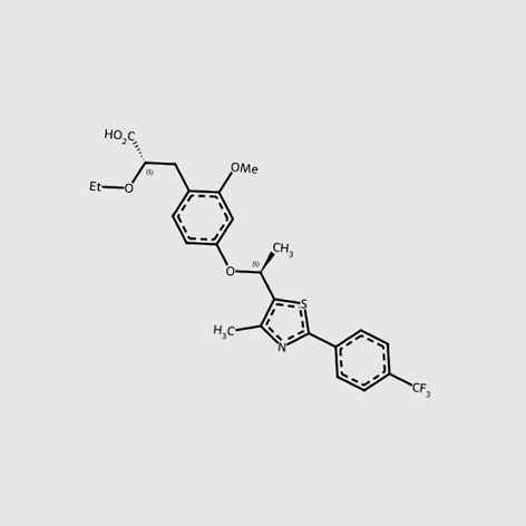 CCO[C@@H](Cc1ccc(O[C@@H](C)c2sc(-c3ccc(C(F)(F)F)cc3)nc2C)cc1OC)C(=O)O